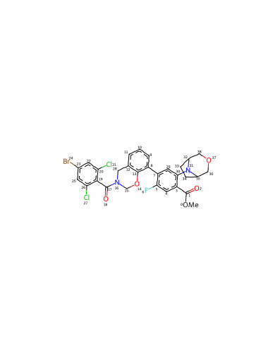 COC(=O)c1cc(F)c(-c2cccc3c2OCN(C(=O)c2c(Cl)cc(Br)cc2Cl)C3)cc1N1C2CCC1COC2